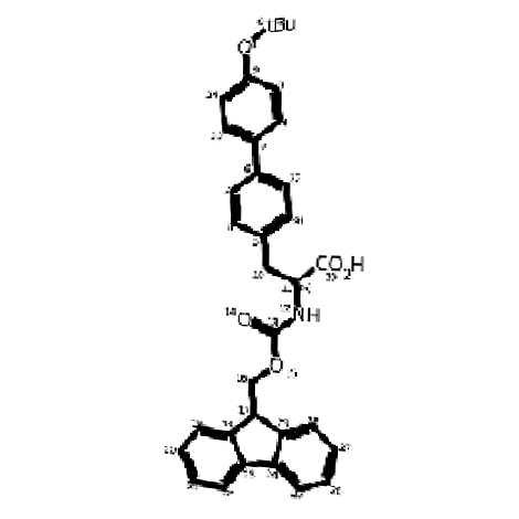 CC(C)(C)Oc1ccc(-c2ccc(C[C@H](NC(=O)OCC3c4ccccc4-c4ccccc43)C(=O)O)cc2)cc1